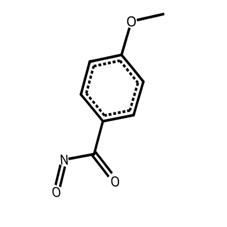 COc1ccc(C(=O)N=O)cc1